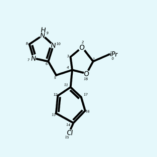 CC(C)C1OCC(Cc2nc[nH]n2)(c2ccc(Cl)cc2)O1